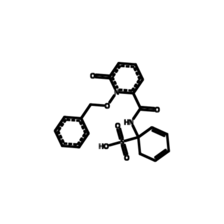 O=C(NC1(S(=O)(=O)O)C=CC=CC1)c1cccc(=O)n1OCc1ccccc1